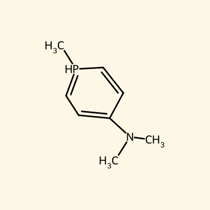 CN(C)C1=CC=[PH](C)C=C1